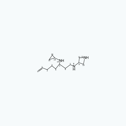 C=CCCCC(CCNC1CNC1)NC1CC1